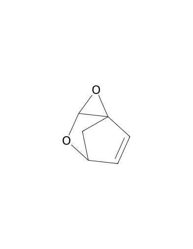 C1=CC23CC1OC2O3